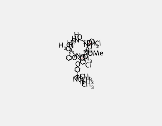 COC[C@@H]1NC(=O)[C@H](C)N(Cc2ccc(Cl)cc2Oc2ccc(-c3cnc(CN(C)C)n3C)cc2)C(=O)C[C@@H](Cc2ccccc2)C(=O)N(C)[C@@H]2C[C@@H]2NC(=O)C[C@H](Cc2ccc(Cl)cc2)N(C)C1=O